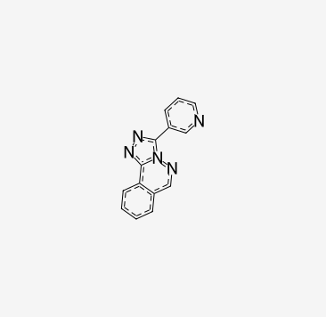 c1cncc(-c2nnc3c4ccccc4cnn23)c1